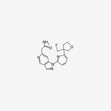 NC(=O)Cc1cc2c(cn1)cnn2-c1cccc(C2(CF)CCOC2)n1